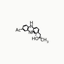 CC(=O)c1ccc(Nc2ccc(C[C@@H](C)O)cc2)c(N)c1